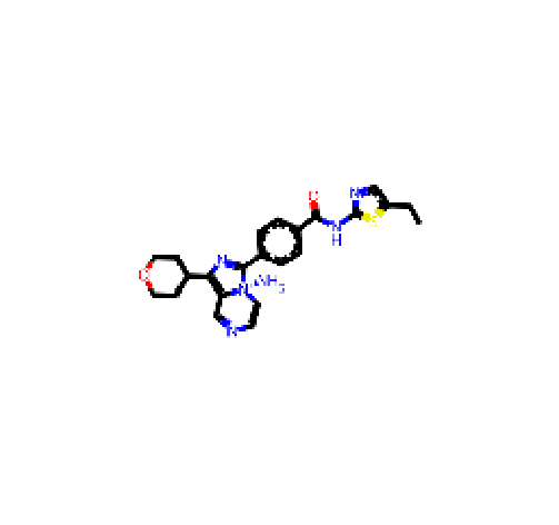 CCc1cnc(NC(=O)c2ccc(C3=NC(C4CCOCC4)=C4C=NC=C[N+]34N)cc2)s1